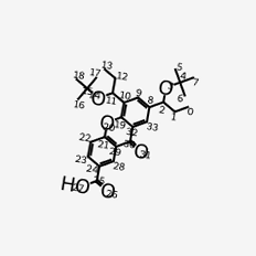 CCC(OC(C)(C)C)c1cc(C(CC)OC(C)(C)C)c2oc3ccc(C(=O)O)cc3c(=O)c2c1